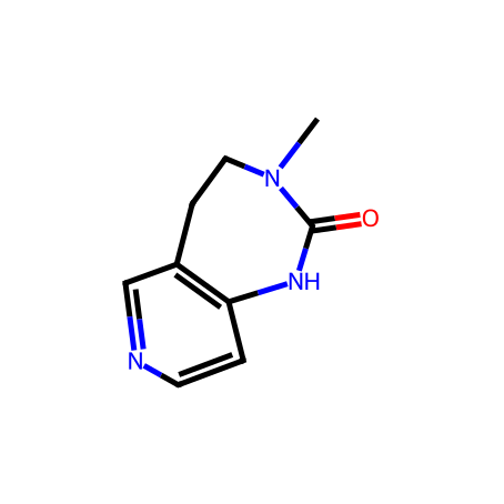 CN1CCc2cnccc2NC1=O